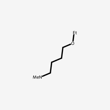 CCOCCCCNC